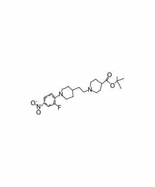 CC(C)(C)OC(=O)C1CCN(CCC2CCN(c3ccc([N+](=O)[O-])cc3F)CC2)CC1